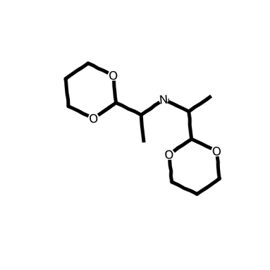 CC([N]C(C)C1OCCCO1)C1OCCCO1